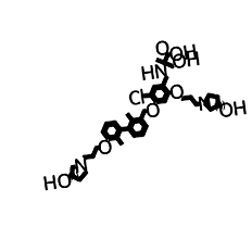 Cc1c(COc2cc(OCCCN3CC[C@@H](O)C3)c(CNC(C)(CO)C(=O)O)cc2Cl)cccc1-c1cccc(OCCCN2CC[C@@H](O)C2)c1C